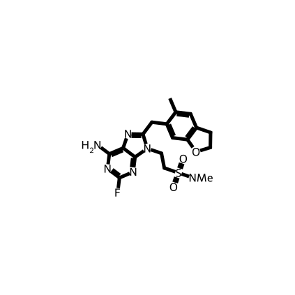 CNS(=O)(=O)CCn1c(Cc2cc3c(cc2C)CCO3)nc2c(N)nc(F)nc21